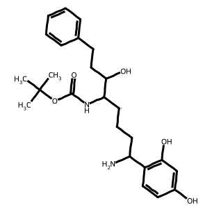 CC(C)(C)OC(=O)NC([CH]CCC(N)c1ccc(O)cc1O)C(O)CCc1ccccc1